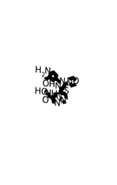 CN(Cc1cc2nc(-c3ccc(N)c(CO)c3)nc(N3CCOCC3)c2s1)c1ncc(C(=O)NO)cn1